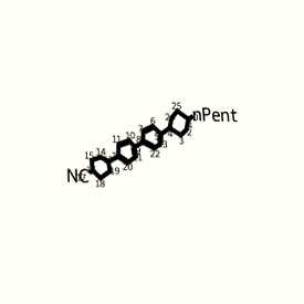 CCCCCC1CCC(c2ccc(-c3ccc(C4CCC(C#N)CC4)cc3)cc2)CC1